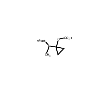 CCCCCN(C)C1(OC(=O)O)CC1